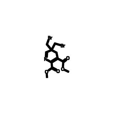 COC(=O)C1=C(C(=O)OC)N=CC(CBr)(CBr)C1